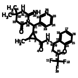 CC1C(C(=O)N[C@H]2C[C@H](C(F)(F)F)Oc3ccccc32)C1C(c1cccnc1)N1C(=N)NC(C)(C)CC1=O